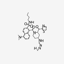 CCCCNS(=O)(=O)c1ccc2c(N(C)C)cccc2c1C(=O)N1CCC(NC=NN)CC1C(=O)c1nccs1